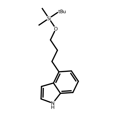 CC(C)(C)[Si](C)(C)OCCCc1cccc2[nH]ccc12